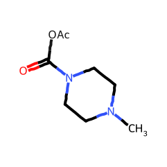 CC(=O)OC(=O)N1CCN(C)CC1